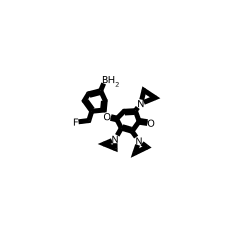 Bc1ccc(CF)cc1.O=C1C=C(N2CC2)C(=O)C(N2CC2)=C1N1CC1